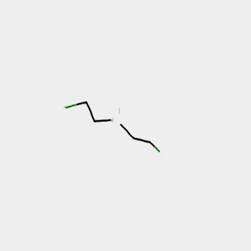 ClC[CH2][InH][CH2]CCl